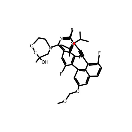 COCOc1cc(-c2c(F)cc3c(N4CCOCC(C)(O)C4)nc(F)nc3c2F)c2c(C#C[Si](C(C)C)(C(C)C)C(C)C)c(F)ccc2c1